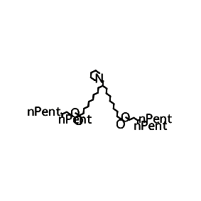 CCCCCC(CCCCC)CCOC(=O)CCCCCCCCC(CCCCCCCCC(=O)OCCC(CCCCC)CCCCC)CN1CCCCC1